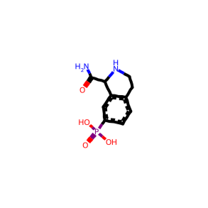 NC(=O)C1NCCc2ccc(P(=O)(O)O)cc21